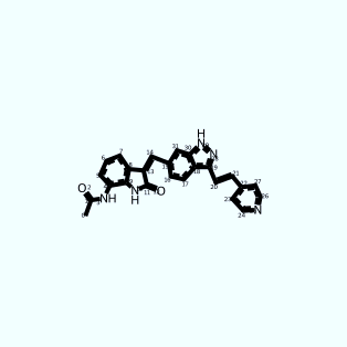 CC(=O)Nc1cccc2c1NC(=O)C2=Cc1ccc2c(C=Cc3ccncc3)n[nH]c2c1